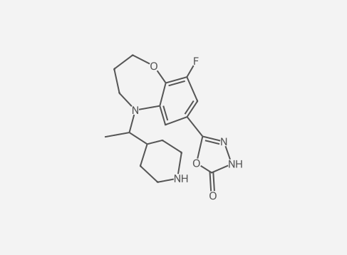 CC(C1CCNCC1)N1CCCOc2c(F)cc(-c3n[nH]c(=O)o3)cc21